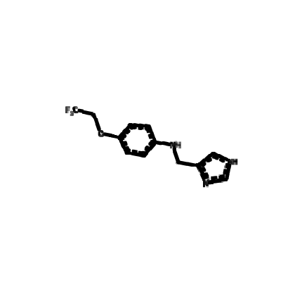 FC(F)(F)COc1ccc(NCc2c[nH]cn2)cc1